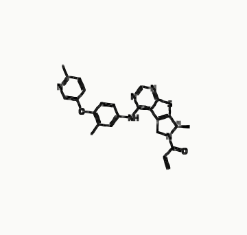 C=CC(=O)N1Cc2c(sc3ncnc(Nc4ccc(Oc5ccc(C)nc5)c(C)c4)c23)[C@H]1C